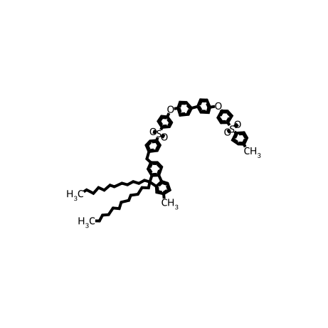 CCCCCCCCCCCCC1(CCCCCCCCCCCC)c2cc(C)ccc2-c2ccc(Cc3ccc(S(=O)(=O)c4ccc(Oc5ccc(-c6ccc(Oc7ccc(S(=O)(=O)c8ccc(C)cc8)cc7)cc6)cc5)cc4)cc3)cc21